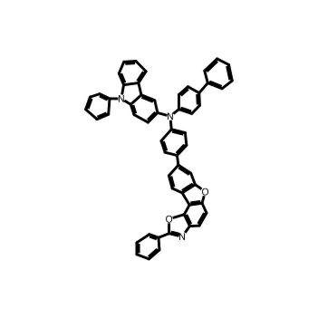 c1ccc(-c2ccc(N(c3ccc(-c4ccc5c(c4)oc4ccc6nc(-c7ccccc7)oc6c45)cc3)c3ccc4c(c3)c3ccccc3n4-c3ccccc3)cc2)cc1